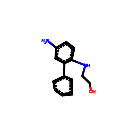 Nc1ccc(NCCO)c(-c2ccccc2)c1